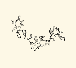 Cc1ccc(C(=O)OCc2ccc(C(CN)C(=O)Nc3cc4c(Cl)cncc4s3)cc2)c(C)c1